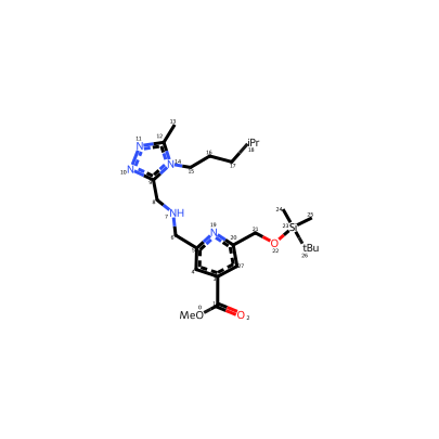 COC(=O)c1cc(CNCc2nnc(C)n2CCCC(C)C)nc(CO[Si](C)(C)C(C)(C)C)c1